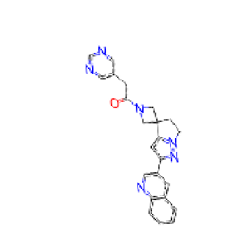 O=C(Cc1cncnc1)N1CC2(CCn3nc(-c4cnc5ccccc5c4)cc32)C1